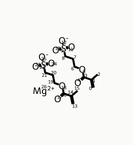 C=C(C)C(=O)OCCCS(=O)(=O)[O-].C=C(C)C(=O)OCCCS(=O)(=O)[O-].[Mg+2]